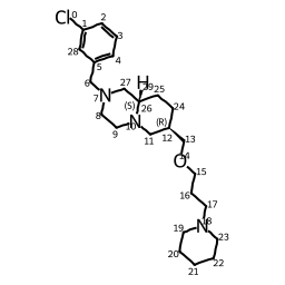 Clc1cccc(CN2CCN3C[C@H](COCCCN4CCCCC4)CC[C@H]3C2)c1